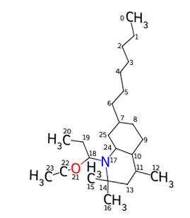 CCCCCCCC1CCC2C(C)CC(C)(C)N(C(CC)OCC)C2C1